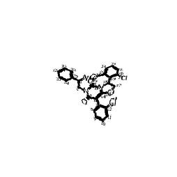 NC(Cn1c(=O)c(-c2ccccc2Cl)c2n(c1=O)C(c1c(Cl)cccc1Cl)CO2)c1ccccc1